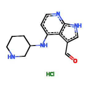 Cl.O=Cc1c[nH]c2nccc(NC3CCCNC3)c12